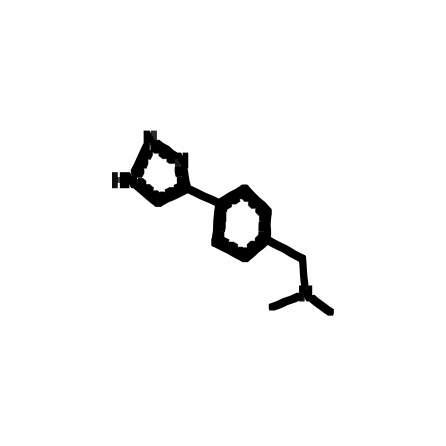 CN(C)Cc1ccc(-c2c[nH]nn2)cc1